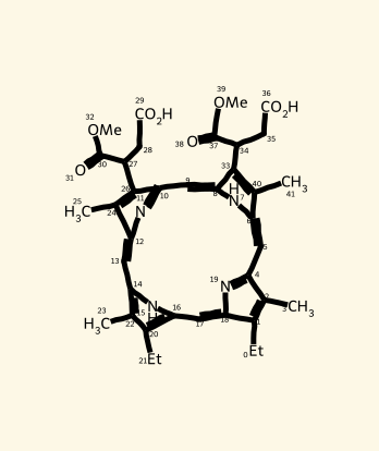 CCC1=C(C)c2cc3[nH]c(cc4nc(cc5[nH]c(cc1n2)c(CC)c5C)C(C)=C4C(CC(=O)O)C(=O)OC)c(C(CC(=O)O)C(=O)OC)c3C